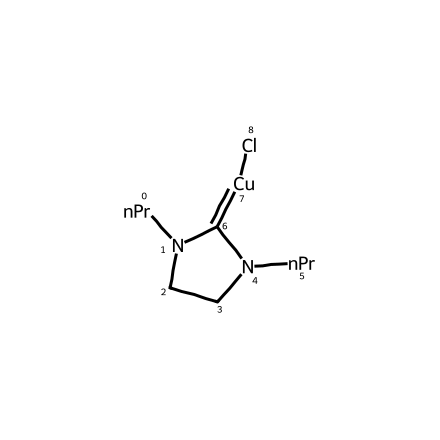 CCCN1CCN(CCC)[C]1=[Cu][Cl]